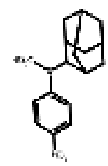 O=C(O)N(c1ccc([N+](=O)[O-])cc1)C1C2CC3CC(C2)CC1C3